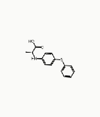 C[C@H](Nc1ccc(Sc2ccccc2)cc1)C(=O)O